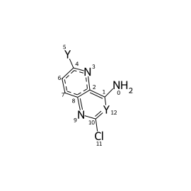 N[C]1=c2n[c]([Y])ccc2=N[C](Cl)=[Y]1